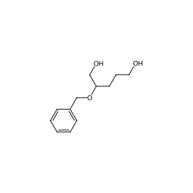 OCCCC(CO)OCc1ccccc1